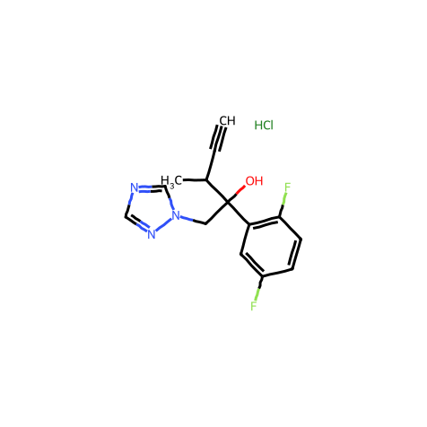 C#CC(C)C(O)(Cn1cncn1)c1cc(F)ccc1F.Cl